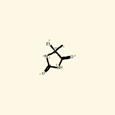 CC[C@]1(C)NC(=O)NC1=O